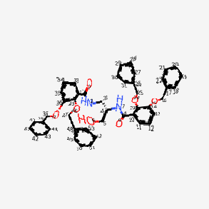 O=C(NC[C@@H](CO)NC(=O)c1cccc(OCc2ccccc2)c1OCc1ccccc1)c1cccc(OCc2ccccc2)c1OCc1ccccc1